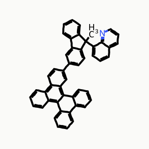 CC1(c2cccc3cccnc23)c2ccccc2-c2cc(-c3ccc4c5ccccc5c5c6ccccc6c6ccccc6c5c4c3)ccc21